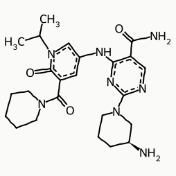 CC(C)n1cc(Nc2nc(N3CCC[C@H](N)C3)ncc2C(N)=O)cc(C(=O)N2CCCCC2)c1=O